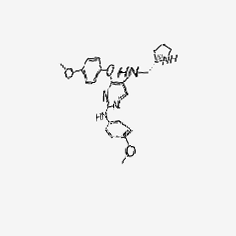 COc1ccc(Nc2ncc(NC[C@@H]3CCCN3)c(Oc3ccc(OC)cc3)n2)cc1